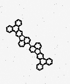 c1cc2c3c(ccc(-c4ccc5c6c(cccc46)-c4cc6c7ccccc7c7ccccc7c6cc4-5)c3c1)-c1cc3c4ccccc4c4ccccc4c3cc1-2